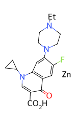 CCN1CCN(c2cc3c(cc2F)c(=O)c(C(=O)O)cn3C2CC2)CC1.[Zn]